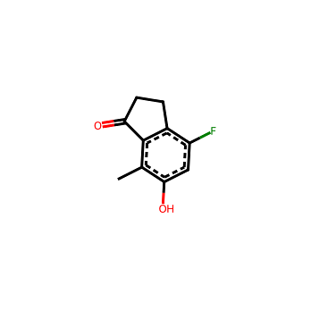 Cc1c(O)cc(F)c2c1C(=O)CC2